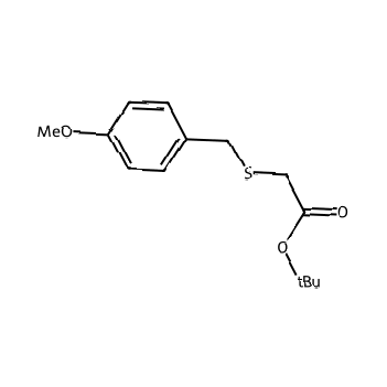 COc1ccc(CSCC(=O)OC(C)(C)C)cc1